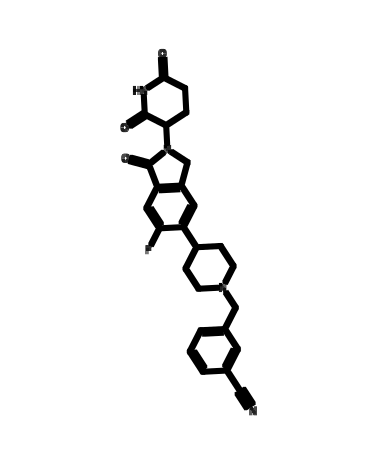 N#Cc1cccc(CN2CCC(c3cc4c(cc3F)C(=O)N(C3CCC(=O)NC3=O)C4)CC2)c1